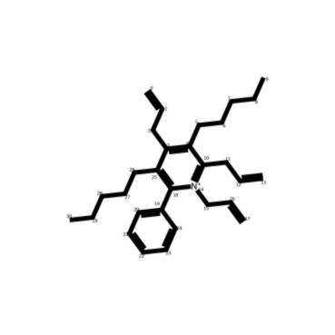 C=CCc1c(CCCCC)c(CC=C)[n+](CC=C)c(-c2ccccc2)c1CCCCC